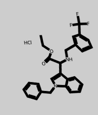 CCOC(=O)C(NCc1cccc(C(F)(F)F)c1)c1cn(Cc2ccccc2)c2ccccc12.Cl